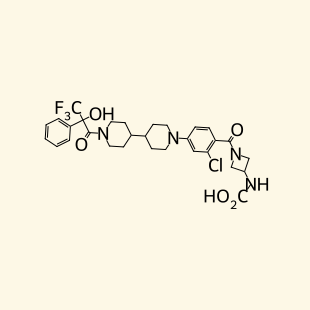 O=C(O)NC1CN(C(=O)c2ccc(N3CCC(C4CCN(C(=O)C(O)(c5ccccc5)C(F)(F)F)CC4)CC3)cc2Cl)C1